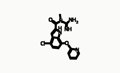 CN(C(=N)N)C(=O)c1cc2c(Cl)ccc(Oc3ccccn3)c2[nH]1